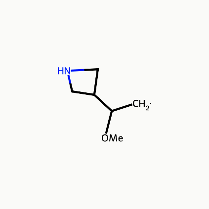 [CH2]C(OC)C1CNC1